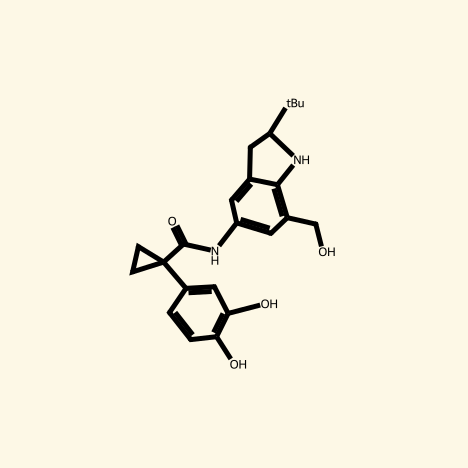 CC(C)(C)C1Cc2cc(NC(=O)C3(c4ccc(O)c(O)c4)CC3)cc(CO)c2N1